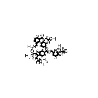 CN(C)C(=O)c1c(C(N)=O)sc2c1CCC(C(=O)OCc1ccccn1)C2.NCc1cccc(C(=O)N(CC(=O)O)c2ccccc2)c1.O=C(O)C(F)(F)F